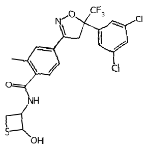 Cc1cc(C2=NOC(c3cc(Cl)cc(Cl)c3)(C(F)(F)F)C2)ccc1C(=O)NC1CSC1O